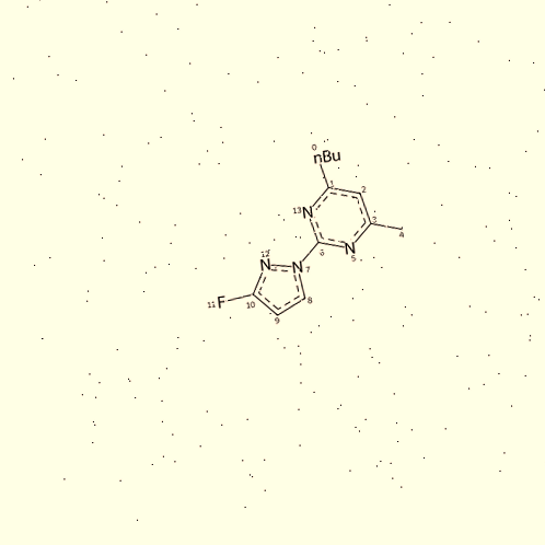 CCCCc1cc(C)nc(-n2ccc(F)n2)n1